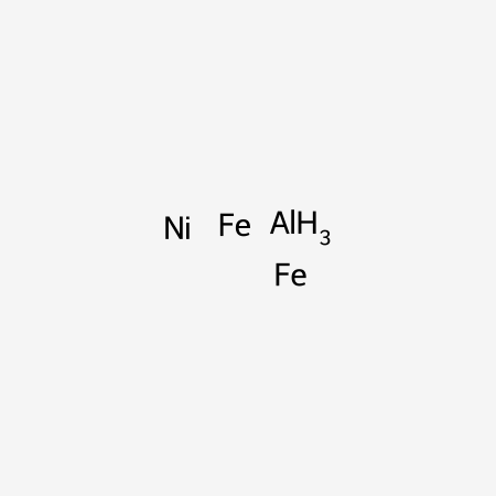 [AlH3].[Fe].[Fe].[Ni]